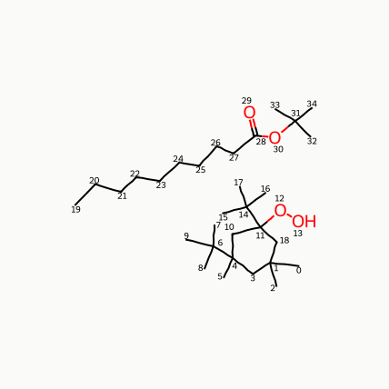 CC1(C)CC(C)(C(C)(C)C)CC(OO)(C(C)(C)C)C1.CCCCCCCCCC(=O)OC(C)(C)C